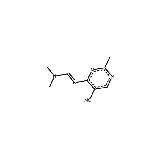 Cc1ncc(C#N)c(/N=C/N(C)C)n1